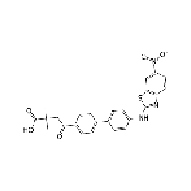 CC(C)(CC(=O)c1ccc(-c2ccc(Nc3nc4ccc([N+](=O)[O-])cc4s3)cc2)cc1)C(=O)O